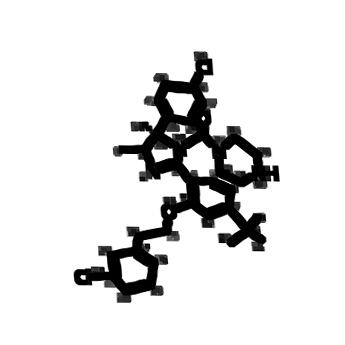 CC1N=C(c2ccc(C(C)(C)C)cc2OCCc2cccc(Cl)c2)N(C(=O)N2CCNCC2)[C@]1(C)c1ccc(Cl)cc1